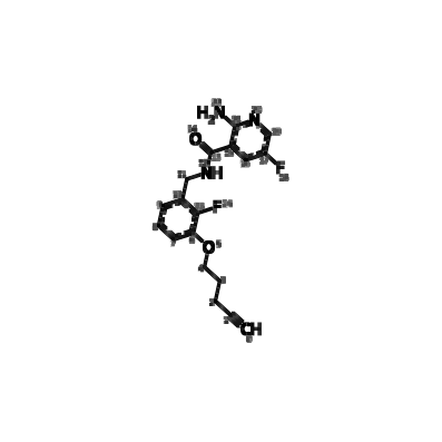 C#CCCCOc1cccc(CNC(=O)c2cc(F)cnc2N)c1F